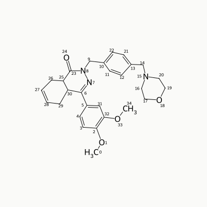 COc1ccc(C2=NN(Cc3ccc(CN4CCOCC4)cc3)C(=O)C3CC=CCC23)cc1OC